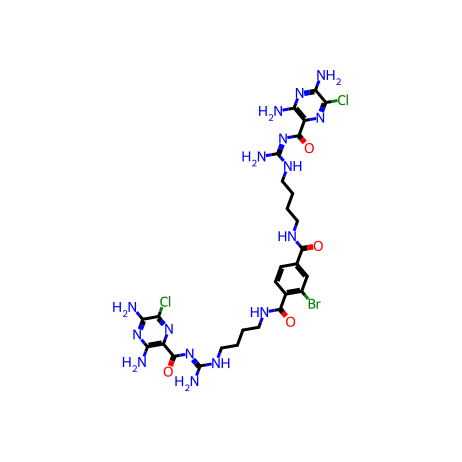 NC(=NC(=O)c1nc(Cl)c(N)nc1N)NCCCCNC(=O)c1ccc(C(=O)NCCCCNC(N)=NC(=O)c2nc(Cl)c(N)nc2N)c(Br)c1